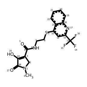 CN1CC(C(=O)NCCSc2cc(C(F)(F)F)nc3ccccc23)=C(O)C1=O